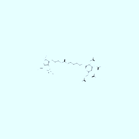 B[C@@H]1O[C@H](COC)C(OP(O)(=S)OC)[C@@H]1CCCNC(=O)NCCCCO[C@@H]1O[C@H](COC(C)=O)[C@H](OC(C)=O)[C@H](OC(C)=O)[C@H]1NC(C)=O